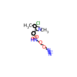 Cc1cc(Cl)c2c(c1)[C@H](c1cccc(S(=O)(=O)NCCOCCOCCN=[N+]=[N-])c1)CN(C)C2